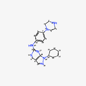 c1cc(N2CCNCC2)ccc1Nc1ncc2cnn(C3CCCCC3)c2n1